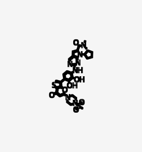 CN(C)C(=O)c1cc2cnc(Nc3ccc(-c4csc5c(=O)cc(N6CCN(S(C)(=O)=O)CC6)oc45)c(O)c3O)nc2n1C1CCCC1